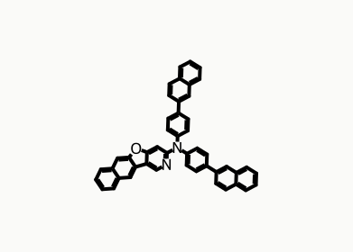 c1ccc2cc(-c3ccc(N(c4ccc(-c5ccc6ccccc6c5)cc4)c4cc5oc6cc7ccccc7cc6c5cn4)cc3)ccc2c1